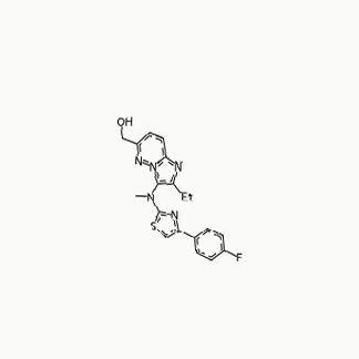 CCc1nc2ccc(CO)nn2c1N(C)c1nc(-c2ccc(F)cc2)cs1